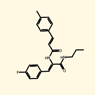 CCCNC(=O)/C(=C/c1ccc(F)cc1)NC(=O)/C=C/c1ccc(C)cc1